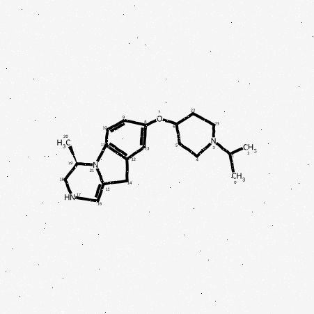 CC(C)N1CCC(Oc2ccc3c(c2)CC2=CNC[C@@H](C)N23)CC1